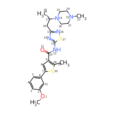 COc1cccc(-c2cc(C(=O)Nc3nc(CC(C)N4CCN(C)CC4)ns3)c(C)s2)c1